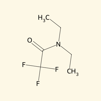 CCN(CC)C(=O)C(F)(F)F